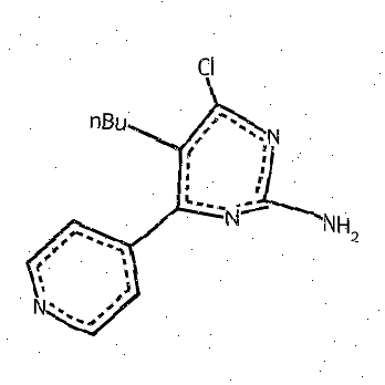 CCCCc1c(Cl)nc(N)nc1-c1ccncc1